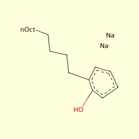 CCCCCCCCCCCCc1ccccc1O.[Na].[Na]